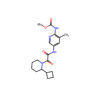 Cc1cc(NC(=O)C(=O)N2CCCCC2C2CCC2)cnc1NC(=O)OC(C)(C)C